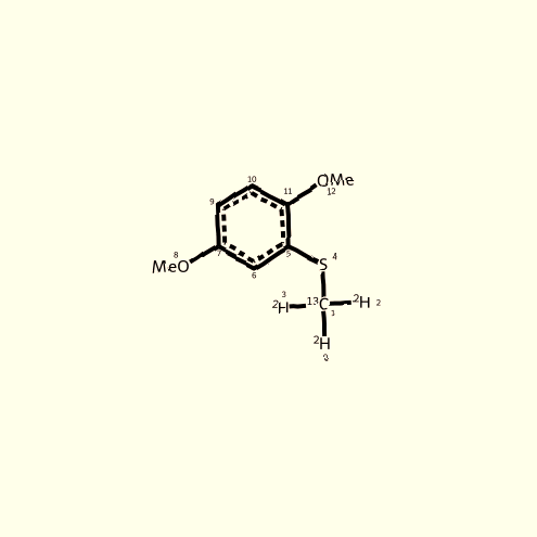 [2H][13C]([2H])([2H])Sc1cc(OC)ccc1OC